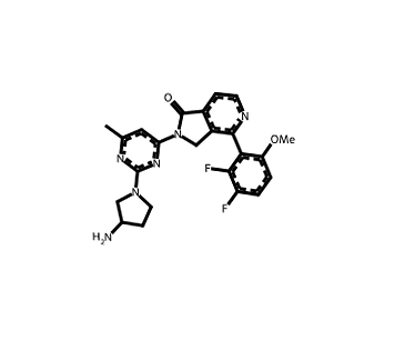 COc1ccc(F)c(F)c1-c1nccc2c1CN(c1cc(C)nc(N3CCC(N)C3)n1)C2=O